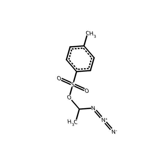 Cc1ccc(S(=O)(=O)OC(C)N=[N+]=[N-])cc1